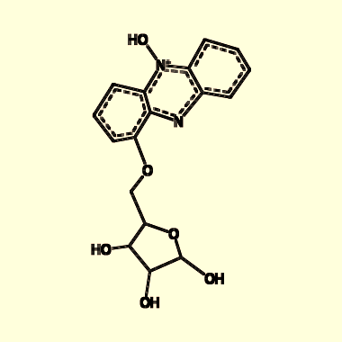 OC1OC(COc2cccc3c2nc2ccccc2[n+]3O)C(O)C1O